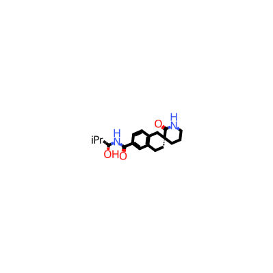 CC(C)C(O)NC(=O)c1ccc2c(c1)CC[C@]1(CCCNC1=O)C2